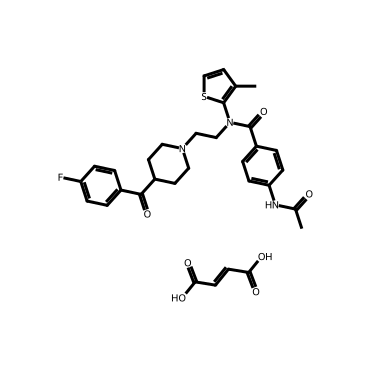 CC(=O)Nc1ccc(C(=O)N(CCN2CCC(C(=O)c3ccc(F)cc3)CC2)c2sccc2C)cc1.O=C(O)C=CC(=O)O